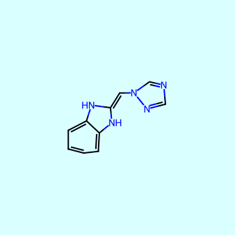 C(=C1Nc2ccccc2N1)n1cncn1